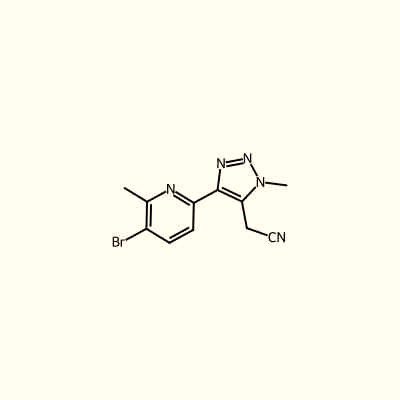 Cc1nc(-c2nnn(C)c2CC#N)ccc1Br